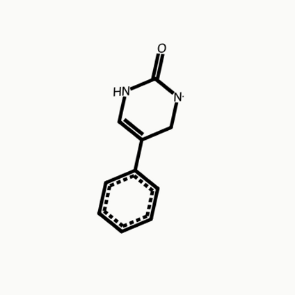 O=C1[N]CC(c2ccccc2)=CN1